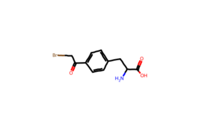 NC(Cc1ccc(C(=O)CBr)cc1)C(=O)O